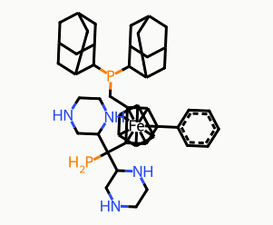 PC(C1CNCCN1)(C1CNCCN1)[C]12[CH]3[C]4(c5ccccc5)[CH]5[C]1(CP(C1C6CC7CC(C6)CC1C7)C1C6CC7CC(C6)CC1C7)[Fe]53421678[CH]2[CH]1[CH]6[CH]7[CH]28